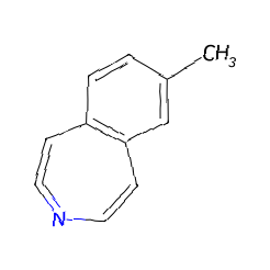 Cc1ccc2c(c1)C=CN=C=C2